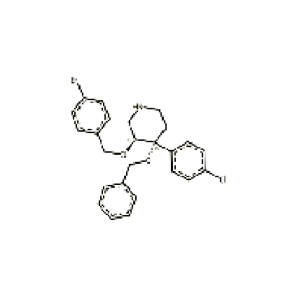 Clc1ccc([C@]2(OCc3ccccc3)CCNC[C@@H]2OCc2ccc(Br)cc2)cc1